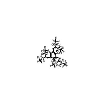 O=S(=O)(C(Cc1c(O)c(CC(S(=O)(=O)C(F)(F)F)S(=O)(=O)C(F)(F)F)c(O)c(CC(S(=O)(=O)C(F)(F)F)S(=O)(=O)C(F)(F)F)c1O)S(=O)(=O)C(F)(F)F)C(F)(F)F